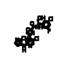 Cn1nccc1Nc1ncc(Cl)c(-c2coc(C(=O)N[C@H](CO)c3cc(F)cc(Cl)c3)n2)n1